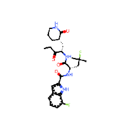 CCC(=O)[C@H](C[C@@H]1CCCNC1=O)NC(=O)[C@H](CC(C)(C)F)NC(=O)c1cc2cccc(F)c2[nH]1